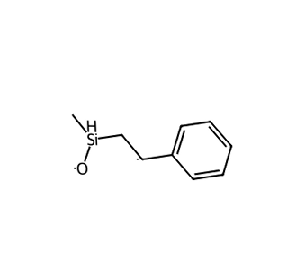 C[SiH]([O])C[CH]c1ccccc1